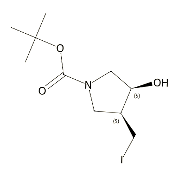 CC(C)(C)OC(=O)N1C[C@H](CI)[C@H](O)C1